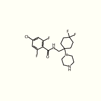 O=C(NCC1(N2CCNCC2)CCC(F)(F)CC1)c1c(F)cc(Cl)cc1F